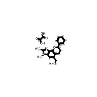 COCc1cc2c(nc(C)n2C)c2c1CCC(c1ccccc1)O2.O=C(O)C(=O)O